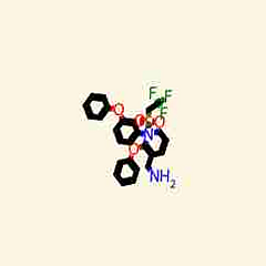 NCC1=C(Oc2ccccc2)[N+](c2cccc(Oc3ccccc3)c2)(S(=O)(=O)CC(F)(F)F)CC=C1